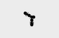 c1ccc2c(-c3ccc(-c4nc5ccccc5o4)cc3)nc(-c3ccc(-c4nc5ccccc5o4)cc3)cc2c1